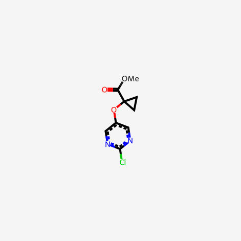 COC(=O)C1(Oc2cnc(Cl)nc2)CC1